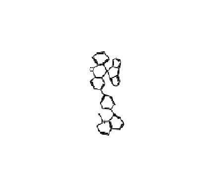 CN1CC=Cc2cccc(-c3ccc(-c4ccc5c(c4)C4(c6ccccc6O5)c5ccccc5-c5ccccc54)cc3)c21